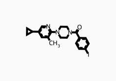 Cc1cc(C2CC2)cnc1N1CCN(C(=O)c2ccc(I)cc2)CC1